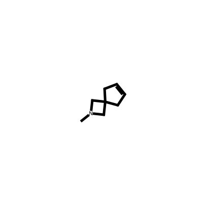 CN1CC2(CC=CC2)C1